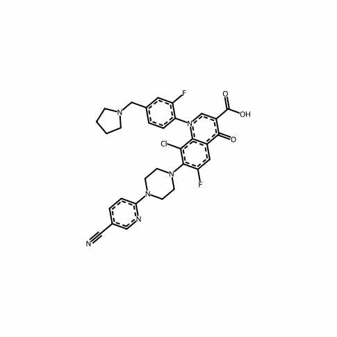 N#Cc1ccc(N2CCN(c3c(F)cc4c(=O)c(C(=O)O)cn(-c5ccc(CN6CCCC6)cc5F)c4c3Cl)CC2)nc1